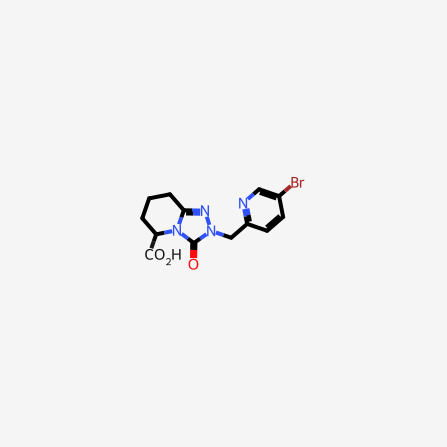 O=C(O)C1CCCc2nn(Cc3ccc(Br)cn3)c(=O)n21